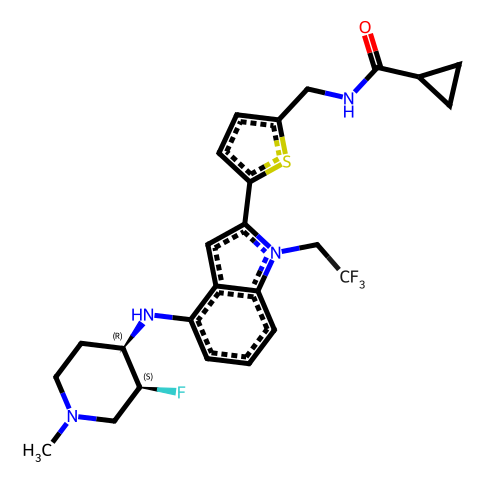 CN1CC[C@@H](Nc2cccc3c2cc(-c2ccc(CNC(=O)C4CC4)s2)n3CC(F)(F)F)[C@@H](F)C1